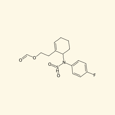 O=COCCC1=CCCCC1N(c1ccc(F)cc1)[SH](=O)=O